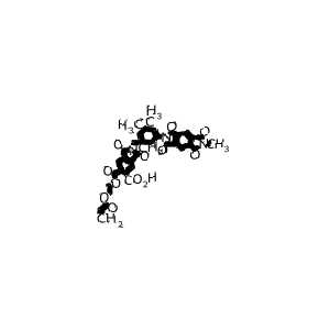 C=CC(=O)OCCOC(=O)c1cc2c(cc1C(=O)O)C(=O)N(CC1(C)CC(n3c(=O)c4cc5c(=O)n(C)c(=O)c5cc4c3=O)CC(C)(C)C1)C2=O